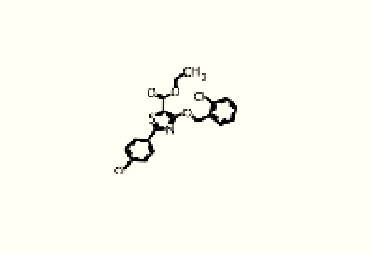 CCOC(=O)c1sc(-c2ccc(Cl)cc2)nc1OCc1ccccc1Cl